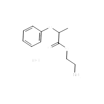 CC(Oc1ccccc1)C(=O)OCCN.Cl